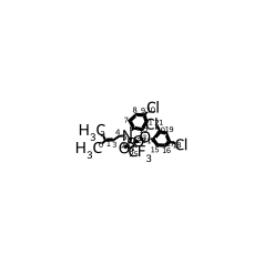 CC(C)=CCN(c1ccc(Cl)cc1Oc1ccc(Cl)cc1Cl)S(=O)(=O)C(F)(F)F